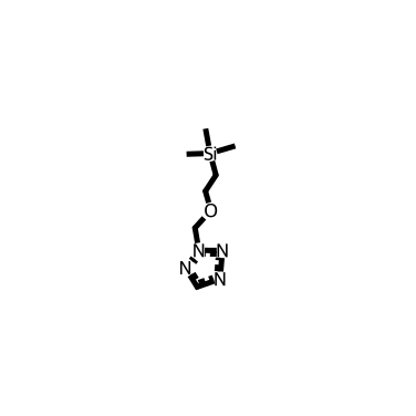 C[Si](C)(C)CCOCn1ncnn1